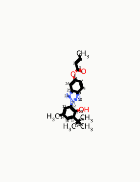 C/C=C/C(=O)Oc1ccc2nn(-c3cc(C)cc(C(C)(C)C)c3O)nc2c1